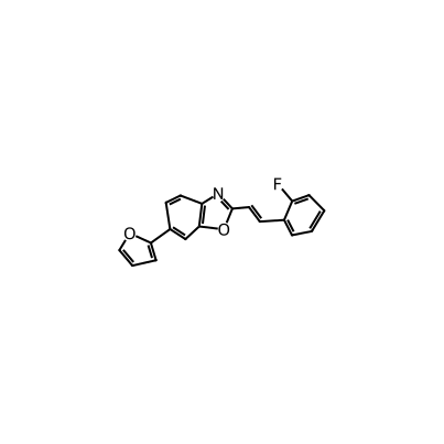 Fc1ccccc1C=Cc1nc2ccc(-c3ccco3)cc2o1